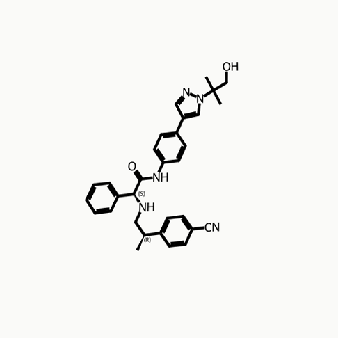 C[C@@H](CN[C@H](C(=O)Nc1ccc(-c2cnn(C(C)(C)CO)c2)cc1)c1ccccc1)c1ccc(C#N)cc1